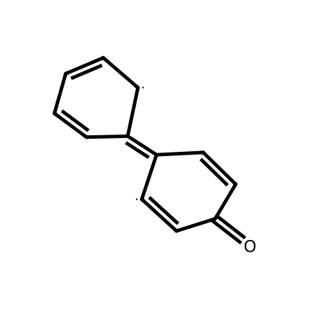 O=C1C=[C]C(=C2[CH]C=CC=C2)C=C1